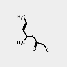 CC=CC(C)OC(=O)CCl